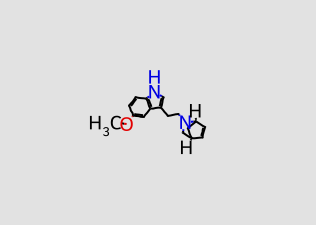 COc1ccc2[nH]cc(CCN3C[C@H]4C=C[C@@H]3C4)c2c1